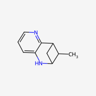 CC1C2CC1c1ncccc1N2